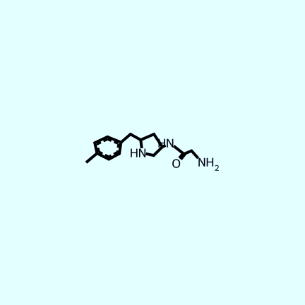 Cc1ccc(CC2CC(NC(=O)CN)CN2)cc1